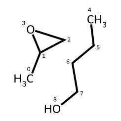 CC1CO1.CCCCO